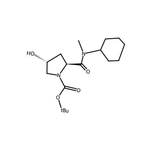 CN(C(=O)[C@@H]1C[C@@H](O)CN1C(=O)OC(C)(C)C)C1CCCCC1